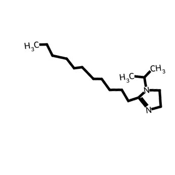 CCCCCCCCCCCC1=NCCN1C(C)C